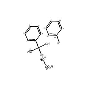 CCC(O)(O)c1ccccc1.Cc1ccccc1.O=C(O)O